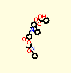 COc1cc(CN2c3ccccc3C3C(OC(C(=O)O)c4ccccc4)=CC=CC32C)ccc1OCc1nc(-c2ccccc2)oc1C